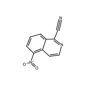 N#Cc1nccc2c([N+](=O)[O-])cccc12